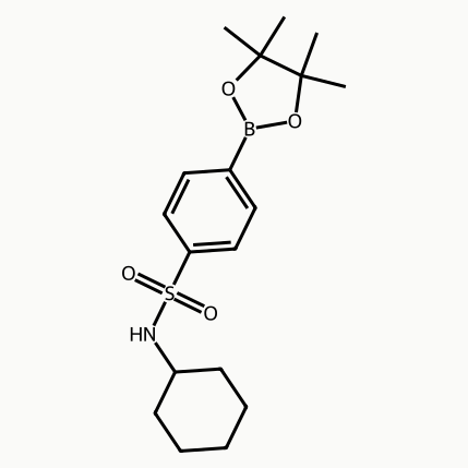 CC1(C)OB(c2ccc(S(=O)(=O)NC3CCCCC3)cc2)OC1(C)C